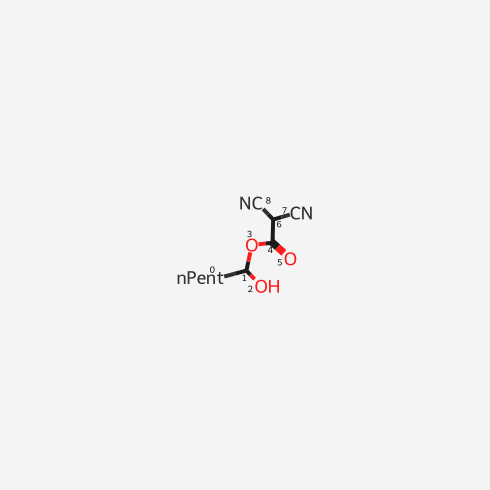 CCCCCC(O)OC(=O)C(C#N)C#N